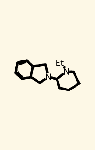 CCN1CCCCC1N1CC2C=CC=CC2C1